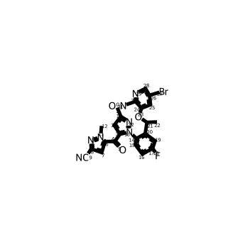 Cc1cc(C(=O)c2cc(C#N)nn2C)n(-c2ccc(F)cc2C(C)Oc2cc(Br)cnc2[N+](=O)[O-])n1